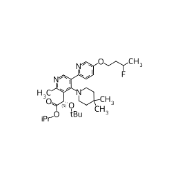 Cc1ncc(-c2ccc(OCCC(C)F)cn2)c(N2CCC(C)(C)CC2)c1[C@H](OC(C)(C)C)C(=O)OC(C)C